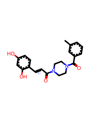 Cc1cccc(C(=O)N2CCN(C(=O)/C=C/c3ccc(O)cc3O)CC2)c1